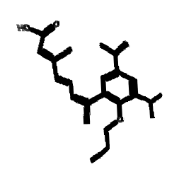 CCCOc1c(\C(C)=C/C=C/C(C)=C/C(=O)O)cc(C(C)C)cc1C(C)C